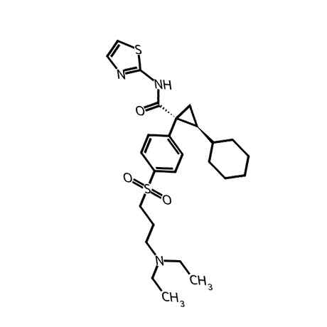 CCN(CC)CCCS(=O)(=O)c1ccc([C@@]2(C(=O)Nc3nccs3)C[C@H]2C2CCCCC2)cc1